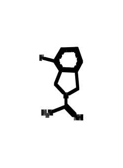 N=C(N)N1Cc2cccc(F)c2C1